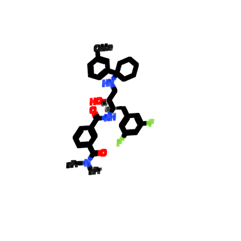 CCCN(CCC)C(=O)c1cccc(C(=O)N[C@@H](Cc2cc(F)cc(F)c2)[C@H](O)CNC2(c3cccc(OC)c3)CCCCC2)c1